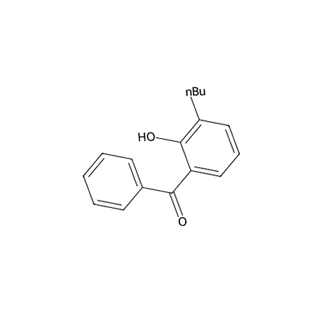 CCCCc1cccc(C(=O)c2ccccc2)c1O